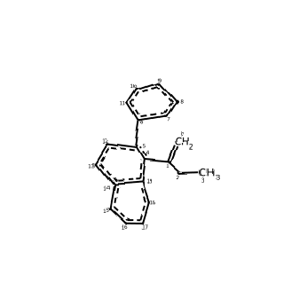 C=C(CC)c1c(-c2ccccc2)ccc2ccccc12